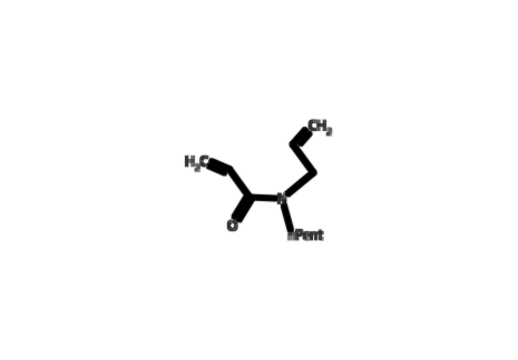 C=CCN(CCCCC)C(=O)C=C